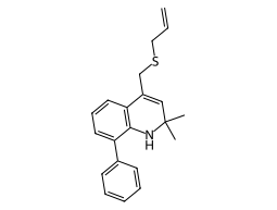 C=CCSCC1=CC(C)(C)Nc2c1cccc2-c1ccccc1